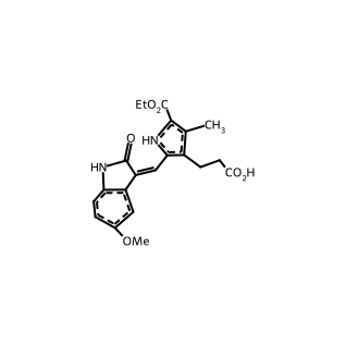 CCOC(=O)c1[nH]c(/C=C2\C(=O)Nc3ccc(OC)cc32)c(CCC(=O)O)c1C